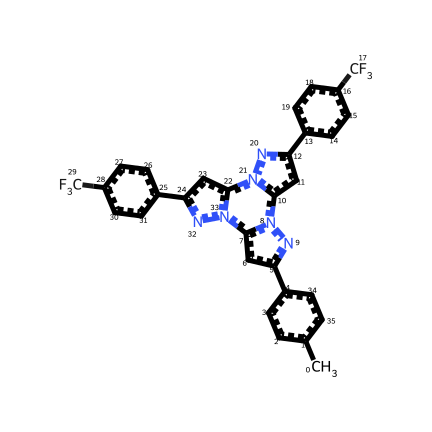 Cc1ccc(-c2cc3n(n2)c2cc(-c4ccc(C(F)(F)F)cc4)nn2c2cc(-c4ccc(C(F)(F)F)cc4)nn32)cc1